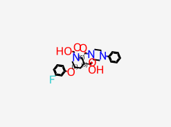 O=C(O)[C@H]1C[C@H](Oc2cccc(F)c2)CN(C(=O)O)[C@@H]1C(=O)N1CCN(c2ccccc2)CC1